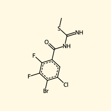 CSC(=N)NC(=O)c1cc(Cl)c(Br)c(F)c1F